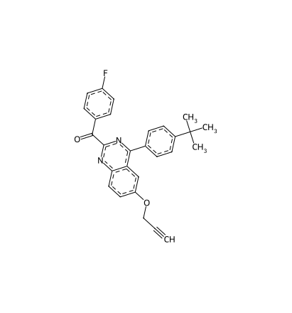 C#CCOc1ccc2nc(C(=O)c3ccc(F)cc3)nc(-c3ccc(C(C)(C)C)cc3)c2c1